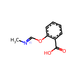 C/N=C/Oc1ccccc1C(=O)O